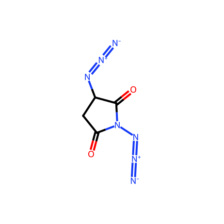 [N-]=[N+]=NC1CC(=O)N(N=[N+]=[N-])C1=O